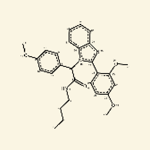 CCCCNC(=O)C(c1ccc(OC)cc1)n1c(-c2ccc(OC)cc2OC)nc2ccccc21